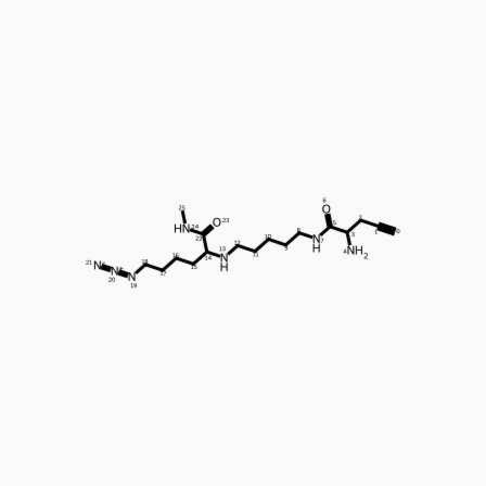 C#CCC(N)C(=O)NCCCCCNC(CCCCN=[N+]=[N-])C(=O)NC